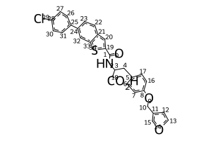 O=C(NC(Cc1ccc(OCc2ccoc2)cc1)C(=O)O)c1cc2ccc(-c3ccc(Cl)cc3)cc2s1